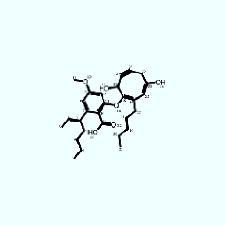 C/C=C(\CCCC)c1cc(OC)cc(O/C2=C(CCCCC)/C=C(/O)CC#CC2O)c1C(=O)O